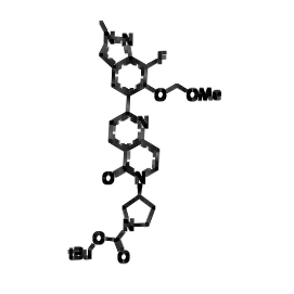 COCOc1c(-c2ccc3c(=O)n([C@H]4CCN(C(=O)OC(C)(C)C)C4)ccc3n2)cc2cn(C)nc2c1F